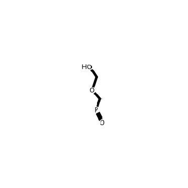 O=P[CH]OCO